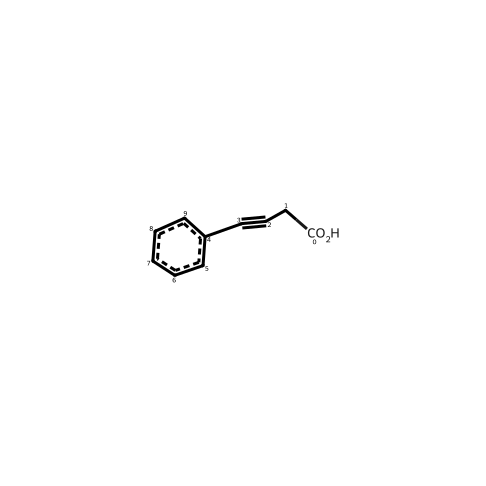 O=C(O)CC#Cc1ccccc1